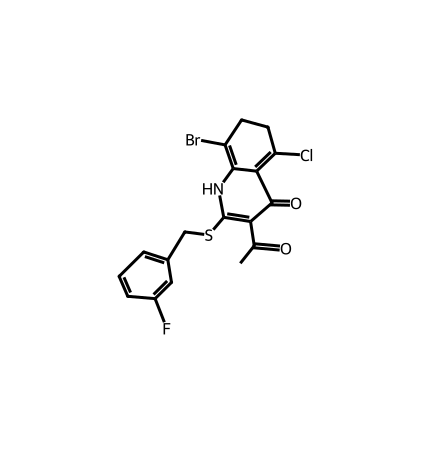 CC(=O)c1c(SCc2cccc(F)c2)[nH]c2c(c1=O)=C(Cl)CCC=2Br